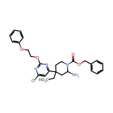 NC1CC(CC(=O)O)(c2cc(Cl)nc(OCCOc3ccccc3)n2)CCN1C(=O)OCc1ccccc1